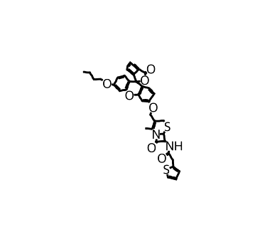 CCCCOc1ccc2c(c1)Oc1cc(OCC3=C(C)N4C(=O)C(NC(=O)Cc5cccs5)C4SC3)ccc1C21OC(=O)c2ccccc21